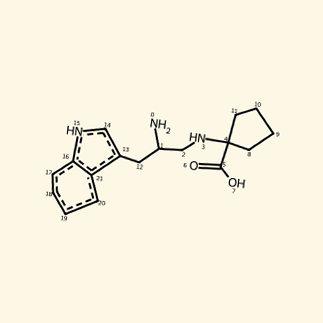 NC(CNC1(C(=O)O)CCCC1)Cc1c[nH]c2ccccc12